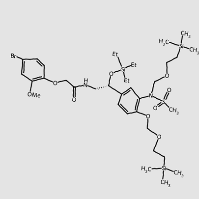 CC[Si](CC)(CC)O[C@@H](CNC(=O)COc1ccc(Br)cc1OC)c1ccc(OCOCC[Si](C)(C)C)c(N(COCC[Si](C)(C)C)S(C)(=O)=O)c1